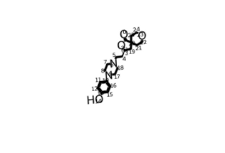 O=C1O[C@H](CCN2CCN(c3ccc(O)cc3)CC2)CC12CCOCC2